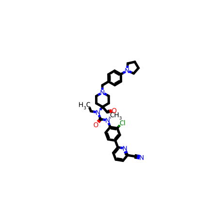 CCN(C(=O)N(C)c1ccc(-c2cccc(C#N)n2)cc1Cl)C1(C=O)CCN(Cc2ccc(N3CCCC3)cc2)CC1